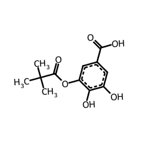 CC(C)(C)C(=O)Oc1cc(C(=O)O)cc(O)c1O